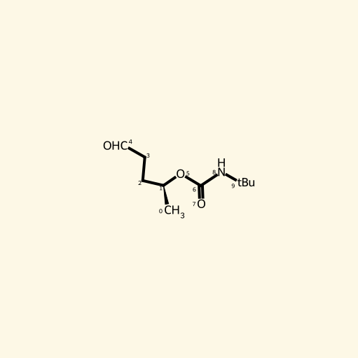 C[C@@H](CCC=O)OC(=O)NC(C)(C)C